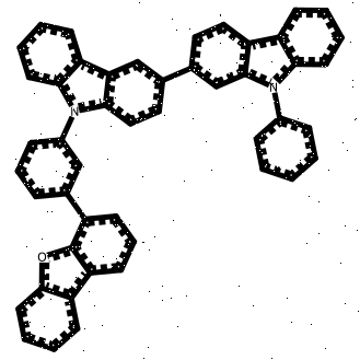 c1ccc(-n2c3ccccc3c3ccc(-c4ccc5c(c4)c4ccccc4n5-c4cccc(-c5cccc6c5oc5ccccc56)c4)cc32)cc1